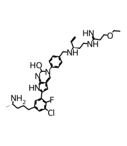 C=C[C@@H](CCNC(=N)CCOCC)NCc1ccc(N2C=c3cc(-c4cc(CCC[C@H](C)N)cc(Cl)c4F)[nH]c3=NC2O)cc1